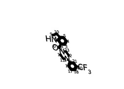 O=C(c1cccc2c1NCC2)N1CCN(c2cccc(C(F)(F)F)c2)CC1